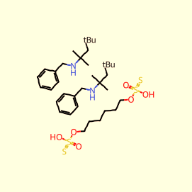 CC(C)(C)CC(C)(C)NCc1ccccc1.CC(C)(C)CC(C)(C)NCc1ccccc1.O=S(O)(=S)OCCCCCCOS(=O)(O)=S